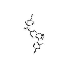 Cc1cc(F)ccc1-c1nncc2cc(Nc3ccc(F)cn3)ccc12